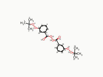 CC(C)(C)OOc1cccc(C(=O)OOC(=O)c2cccc(OOC(C)(C)C)c2)c1